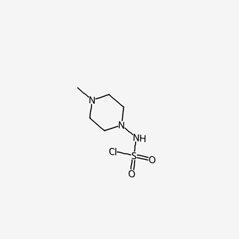 CN1CCN(NS(=O)(=O)Cl)CC1